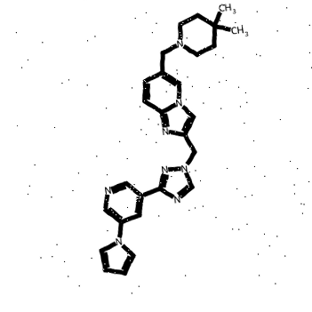 CC1(C)CCN(Cc2ccc3nc(Cn4cnc(-c5cncc(-n6cccc6)c5)n4)cn3c2)CC1